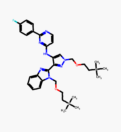 C[Si](C)(C)CCOCn1cc(Nc2ccnc(-c3ccc(F)cc3)n2)c(-c2nc3ccccc3n2COCC[Si](C)(C)C)n1